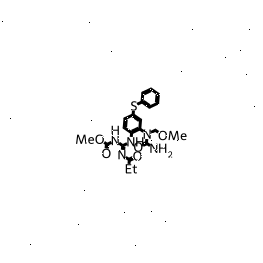 CCC(=O)N=C(NC(=O)OC)Nc1ccc(Sc2ccccc2)cc1N(COC)C(N)=O